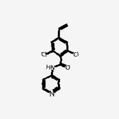 C=Cc1cc(Cl)c(C(=O)Nc2ccncc2)c(Cl)c1